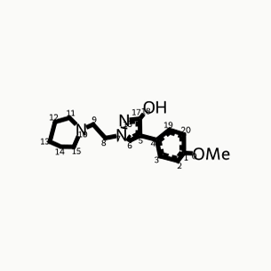 COc1ccc(-c2cn(CCN3CCCCC3)nc2O)cc1